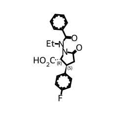 CCN(C(=O)c1ccccc1)N1C(=O)C[C@@H](c2ccc(F)cc2)[C@@H]1C(=O)O